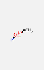 C=CCOB(F)OC#N